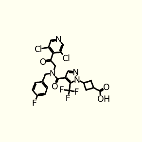 O=C(CN(Cc1ccc(F)cc1)C(=O)c1cnn(C2CC(C(=O)O)C2)c1C(F)(F)F)c1c(Cl)cncc1Cl